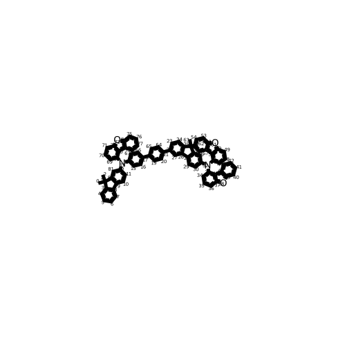 CC1(C)c2ccccc2-c2ccc(N(c3ccc(-c4ccc(-c5ccc6c(c5)-c5ccc(N(c7cccc8oc9ccccc9c78)c7cccc8oc9ccccc9c78)cc5C6(C)C)cc4)cc3)c3cccc4oc5ccccc5c34)cc21